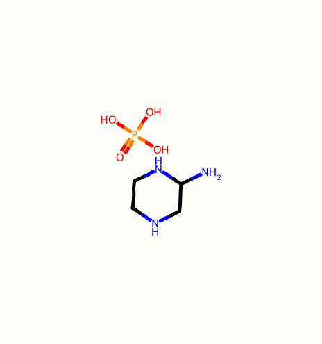 NC1CNCCN1.O=P(O)(O)O